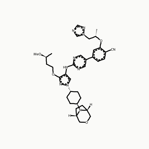 CO[C@@H](C)CCOc1nn([C@H]2CC[C@H](N3[C@@H]4CC[C@H]3COC4)CC2)cc1Nc1ncc(-c2ccc(C#N)c(O[C@@H](C)Cn3cncn3)c2)cn1